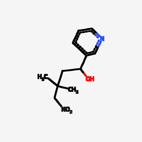 CC(C)(CC(O)c1cccnc1)C[N+](=O)[O-]